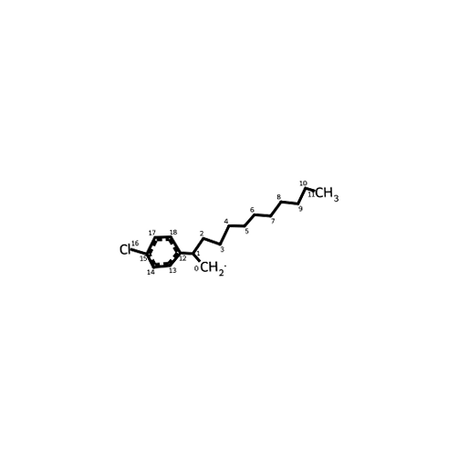 [CH2]C(CCCCCCCCCC)c1ccc(Cl)cc1